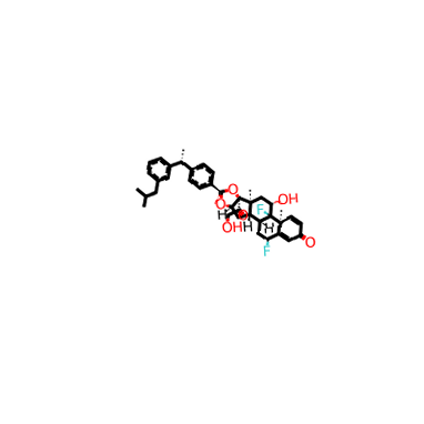 CC(C)Cc1cccc([C@H](C)c2ccc([C@@H]3O[C@@H]4C[C@H]5[C@@H]6C[C@H](F)C7=CC(=O)C=C[C@]7(C)[C@@]6(F)[C@@H](O)C[C@]5(C)[C@]4(C(=O)CO)O3)cc2)c1